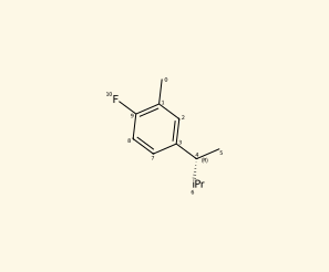 Cc1cc([C@H](C)C(C)C)ccc1F